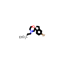 CCOC(=O)CCN1CCO[C@]2(CCc3cc(Br)ccc32)C1